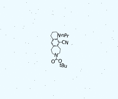 CCCN1CCCc2cc3c(c(C#N)c21)CCN(C(=O)OC(C)(C)C)CC3